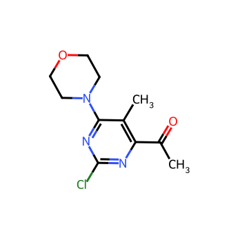 CC(=O)c1nc(Cl)nc(N2CCOCC2)c1C